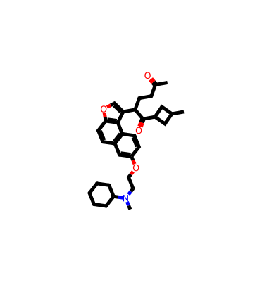 CC(=O)CCC(C(=O)C1CC(C)C1)c1coc2ccc3cc(OCCN(C)C4CCCCC4)ccc3c12